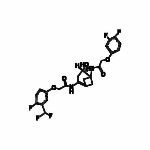 O=C(COc1ccc(F)c(C(F)F)c1)NC1=C2CC(NC(=O)COc3ccc(F)c(F)c3)(C2)[C@@H](O)C1